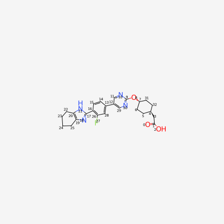 O=C(O)C[C@H]1CC[C@@H](Oc2ncc(-c3ccc(-c4nc5c([nH]4)CCCC5)c(F)c3)cn2)CC1